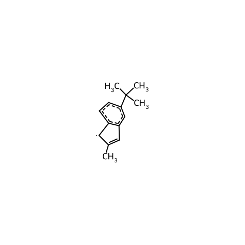 CC1=Cc2cc(C(C)(C)C)ccc2[CH]1